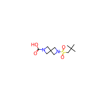 CC(C)(C)CS(=O)(=O)N1CC2(CN(C(=O)O)C2)C1